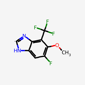 COc1c(F)cc2[nH][c]nc2c1C(F)(F)F